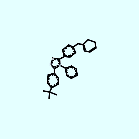 CC(C)(C)c1ccc(-c2nnc(-c3ccc(CC4=CC=CCC4)cc3)n2-c2ccccc2)cc1